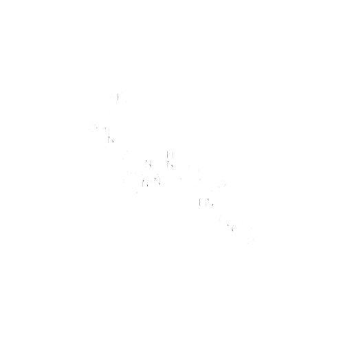 CC1CN(CCNC(=O)c2ccc(Nc3nc4c(C5=CCN(C(=O)CCC(F)(F)F)CC5)cccn4n3)cc2)CC(C)O1